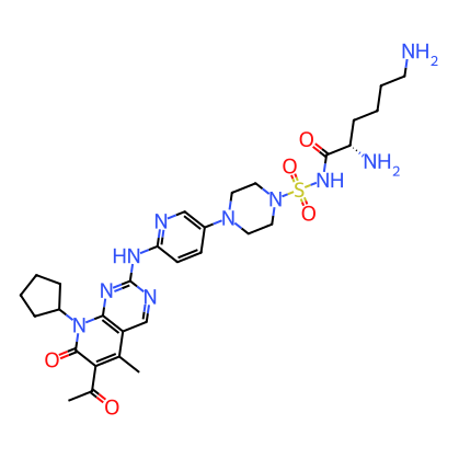 CC(=O)c1c(C)c2cnc(Nc3ccc(N4CCN(S(=O)(=O)NC(=O)[C@@H](N)CCCCN)CC4)cn3)nc2n(C2CCCC2)c1=O